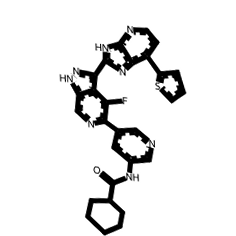 O=C(Nc1cncc(-c2ncc3[nH]nc(-c4nc5c(-c6cccs6)ccnc5[nH]4)c3c2F)c1)C1CCCCC1